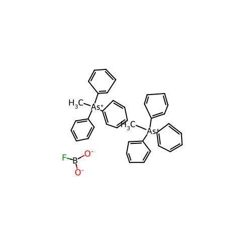 C[As+](c1ccccc1)(c1ccccc1)c1ccccc1.C[As+](c1ccccc1)(c1ccccc1)c1ccccc1.[O-]B([O-])F